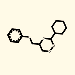 c1ccc(OCC2COOC(C3CCCCC3)O2)cc1